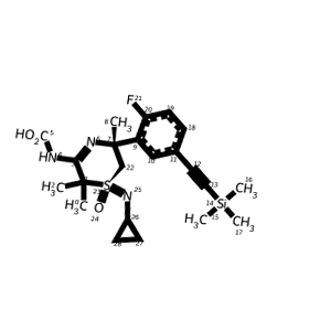 CC1(C)C(NC(=O)O)=N[C@](C)(c2cc(C#C[Si](C)(C)C)ccc2F)C[S@]1(=O)=NC1CC1